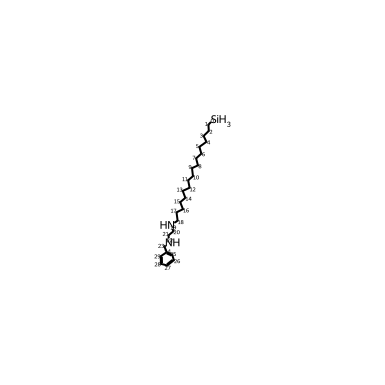 [SiH3]CCCCCCCCCCCCCCCCCCNCCNCc1ccccc1